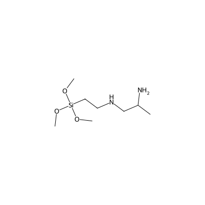 CO[Si](CCNCC(C)N)(OC)OC